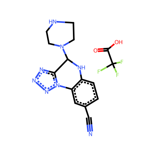 N#Cc1ccc2c(c1)-n1nnnc1C(N1CCNCC1)N2.O=C(O)C(F)(F)F